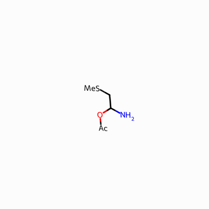 CSCC(N)OC(C)=O